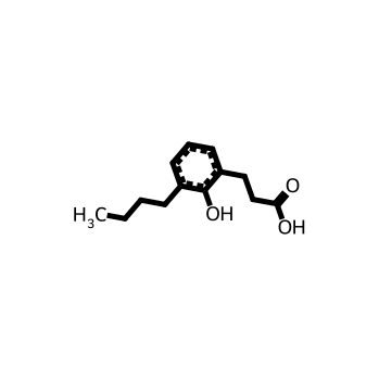 CCCCc1cccc(CCC(=O)O)c1O